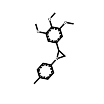 COc1cc(C2CN2c2ccc(C)cc2)cc(OC)c1OC